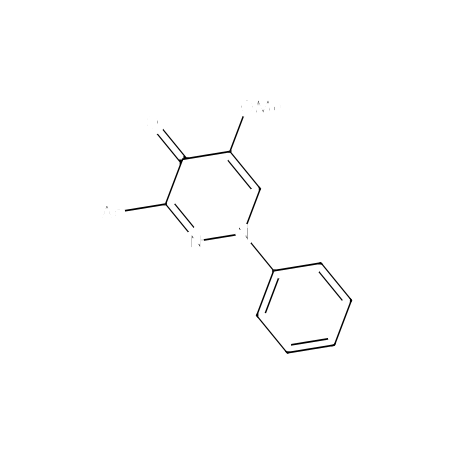 COc1cn(-c2ccccc2)nc(C(C)=O)c1=O